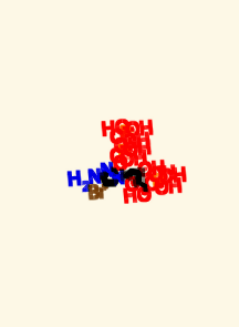 Nc1nc(=O)n([C@H]2C[C@H](O)[C@@H](CO)O2)cc1Br.O=P(O)(O)O.O=P(O)(O)O.O=P(O)(O)O